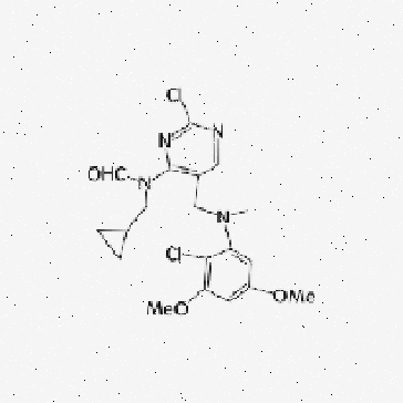 COc1cc(OC)c(Cl)c(N(C)Cc2cnc(Cl)nc2N(C=O)CC2CC2)c1